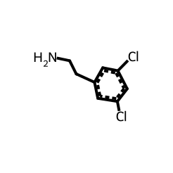 NCCc1cc(Cl)cc(Cl)c1